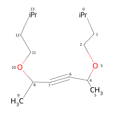 CC(C)CCOC(C)C#CC(C)OCCC(C)C